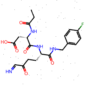 CCC(=O)N[C@@H](CC(=O)O)C(=O)N[C@@H](CCC(=O)C=N)C(=O)NCc1ccc(F)cc1